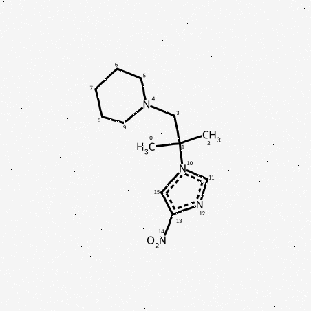 CC(C)(CN1CCCCC1)n1cnc([N+](=O)[O-])c1